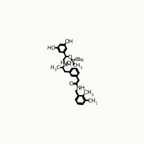 Cc1cccc(CNC(=O)Cc2cccc(CC(C)NCC(O[Si](C)(C)C(C)(C)C)c3cc(O)cc(O)c3)c2)c1C